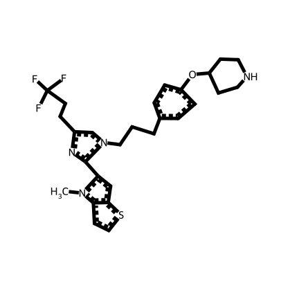 Cn1c(-c2nc(CCC(F)(F)F)cn2CCCc2ccc(OC3CCNCC3)cc2)cc2sccc21